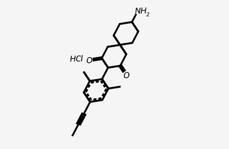 CC#Cc1cc(C)c(C2C(=O)CC3(CCC(N)CC3)CC2=O)c(C)c1.Cl